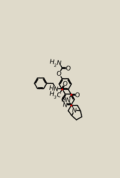 Cc1cc(OC(N)=O)ccc1C(=O)NC1CC2CCC(C1)N2c1ccc(C(=O)NCc2ccccc2)cn1